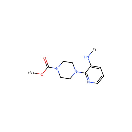 CCNc1cccnc1N1CCN(C(=O)OC(C)(C)C)CC1